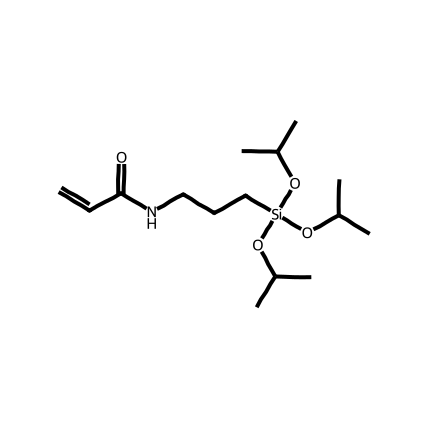 C=CC(=O)NCCC[Si](OC(C)C)(OC(C)C)OC(C)C